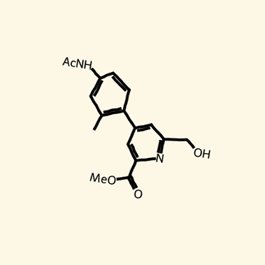 COC(=O)c1cc(-c2ccc(NC(C)=O)cc2C)cc(CO)n1